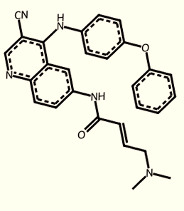 CN(C)CC=CC(=O)Nc1ccc2ncc(C#N)c(Nc3ccc(Oc4ccccc4)cc3)c2c1